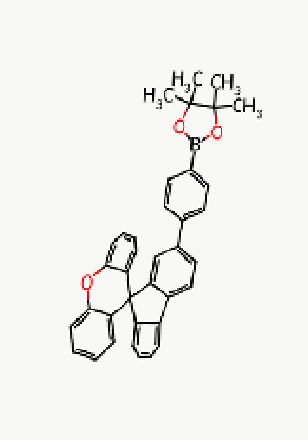 CC1(C)OB(c2ccc(-c3ccc4c(c3)C3(c5ccccc5Oc5ccccc53)c3ccccc3-4)cc2)OC1(C)C